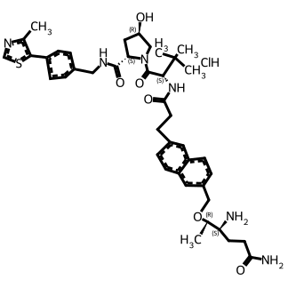 Cc1ncsc1-c1ccc(CNC(=O)[C@@H]2C[C@@H](O)CN2C(=O)[C@@H](NC(=O)CCc2ccc3cc(CO[C@H](C)[C@@H](N)CCC(N)=O)ccc3c2)C(C)(C)C)cc1.Cl